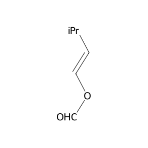 CC(C)C=COC=O